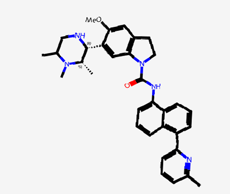 COc1cc2c(cc1[C@H]1NCC(C)N(C)[C@H]1C)N(C(=O)Nc1cccc3c(-c4cccc(C)n4)cccc13)CC2